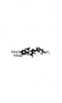 COc1cc2nc(C)nc(NC(C)c3ccc(-c4cnn(CC(N)=O)c4)s3)c2cc1OC